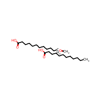 C=O.CCCCCCCCCCCC(=O)O.CCCCCCCCCCCC(=O)O